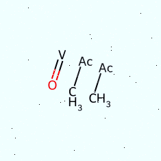 CC(C)=O.CC(C)=O.[O]=[V]